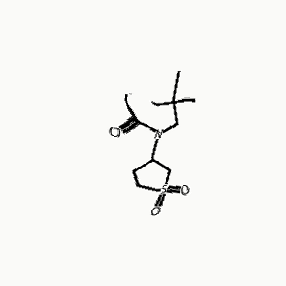 [CH2]C(=O)N(CC(C)(C)C)C1CCS(=O)(=O)C1